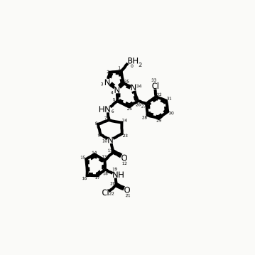 Bc1cnn2c(NC3CCN(C(=O)c4ccccc4NC(=O)Cl)CC3)cc(-c3ccccc3Cl)nc12